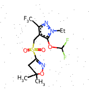 CCn1nc(C(F)(F)F)c(CS(=O)(=O)C2=NOC(C)(C)C2)c1OC(F)F